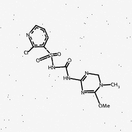 COC1=NC(NC(=O)NS(=O)(=O)c2cccnc2Cl)=NCN1C